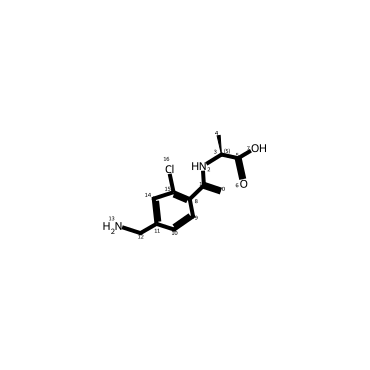 C=C(N[C@@H](C)C(=O)O)c1ccc(CN)cc1Cl